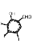 O=Cc1cc(I)c(I)c(I)c1O